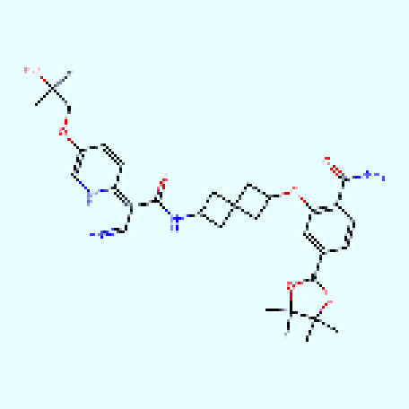 CC(C)(O)COC1=CN/C(=C(\C=N)C(=O)NC2CC3(C2)CC(Oc2cc(B4OC(C)(C)C(C)(C)O4)ccc2C(N)=O)C3)C=C1